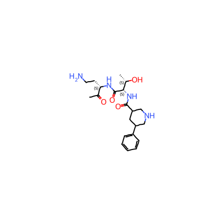 CC(=O)[C@H](CCN)NC(=O)[C@@H](NC(=O)C1CNCC(c2ccccc2)C1)[C@H](C)O